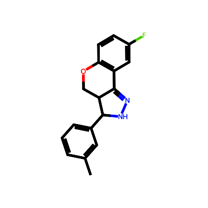 Cc1cccc(C2NN=C3c4cc(F)ccc4OCC32)c1